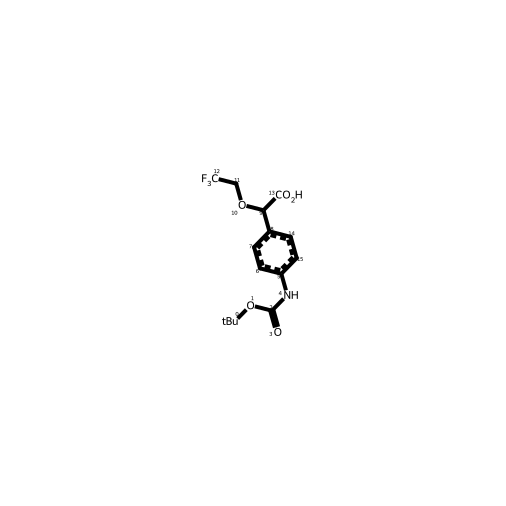 CC(C)(C)OC(=O)Nc1ccc(C(OCC(F)(F)F)C(=O)O)cc1